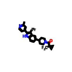 Cc1cc(-c2[nH]c3ccc(C4CCN(C(=O)C5(C(F)(F)F)CC5)CC4)cc3c2C(C)C)ccn1